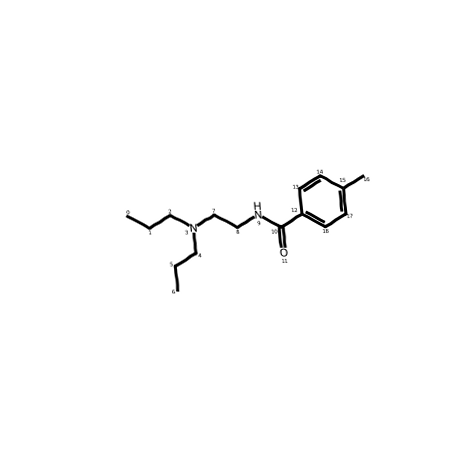 CCCN(CCC)CCNC(=O)c1ccc(C)cc1